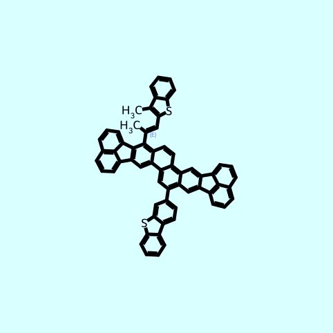 C/C(=C\c1sc2ccccc2c1C)c1c2c(cc3c1ccc1c4cc5c(cc4c(-c4ccc6c(c4)sc4ccccc46)cc31)-c1cccc3cccc-5c13)-c1cccc3cccc-2c13